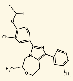 Cc1cc(-c2nc(-c3ccc(OC(F)F)c(Cl)c3)n3c2CCO[C@H](C)C3)ccn1